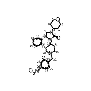 O=C1N(C2CCOCC2)C[C@@H](c2ccccc2)N1C1CCN(Cc2ccc([N+](=O)[O-])cc2)CC1